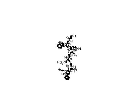 CC(C)C[C@H](NC(=O)[C@H](CC1=CNCN1)NC(=O)[C@H](CC1=CNC2CCCCC12)NC(=O)CNC(=O)CCS)C(=O)NCC(=O)N[C@@H](CCC(=O)O)C(=O)NCC(O)N[C@H](C(=O)N[C@@H](CC1=CNC2CCCCC12)C(=O)NCCS)C(C)C